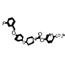 O=C(O)c1ccc(OC(=O)N2CCC(Oc3ccc(OCc4cccc(F)c4)cc3)CC2)cn1